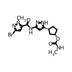 CNC(=O)O[C@@H]1CC[C@H](c2cc(NC(=O)c3cc(Br)nn3C)n[nH]2)C1